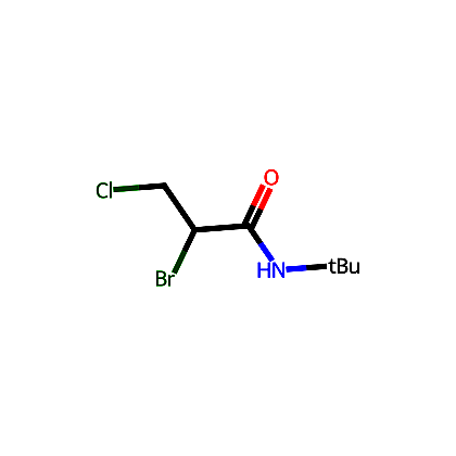 CC(C)(C)NC(=O)C(Br)CCl